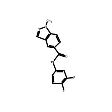 Cn1ncc2cc(C(=O)Nc3ccc(F)c(F)c3)ccc21